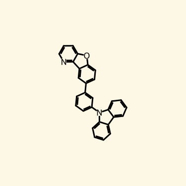 c1cc(-c2ccc3oc4cccnc4c3c2)cc(-n2c3ccccc3c3ccccc32)c1